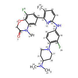 CC(C)N1C(=O)COc2c(F)cc(-c3nc(Nc4ccc(N5CCC(N(C)C)CC5)c(F)c4)ccc3C(F)(F)F)cc21